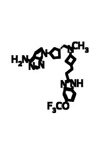 CN(C[C@@H]1CC[C@H](n2ccc3c(N)ncnc32)C1)C1CC(CCc2nc3cc(OC(F)(F)F)ccc3[nH]2)C1